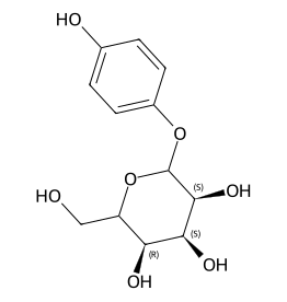 OCC1OC(Oc2ccc(O)cc2)[C@@H](O)[C@@H](O)[C@H]1O